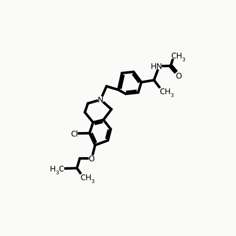 CC(=O)NC(C)c1ccc(CN2CCc3c(ccc(OCC(C)C)c3Cl)C2)cc1